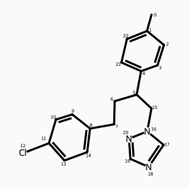 Cc1ccc(C(CCc2ccc(Cl)cc2)Cn2cncn2)cc1